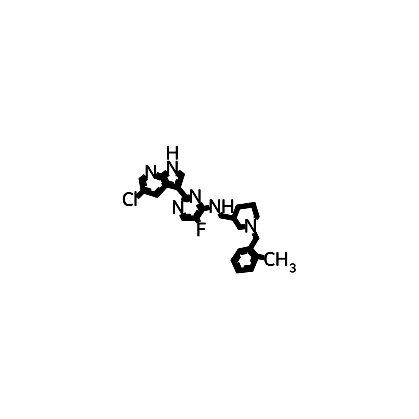 Cc1ccccc1CN1CCCC(CNc2nc(-c3c[nH]c4ncc(Cl)cc34)ncc2F)C1